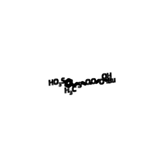 CCC(C)C(O)OCCOCOCCSCC(C)c1ccc(S(=O)(=O)O)cc1